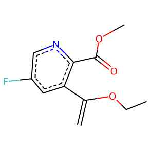 C=C(OCC)c1cc(F)cnc1C(=O)OC